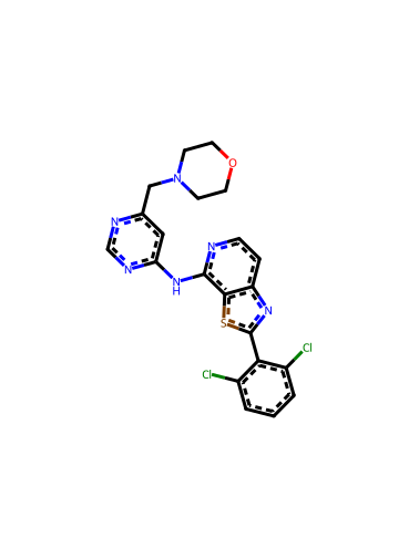 Clc1cccc(Cl)c1-c1nc2ccnc(Nc3cc(CN4CCOCC4)ncn3)c2s1